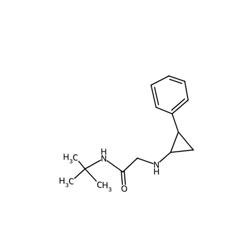 CC(C)(C)NC(=O)CNC1CC1c1ccccc1